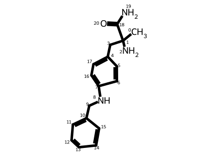 CC(N)(Cc1ccc(NCc2ccccc2)cc1)C(N)=O